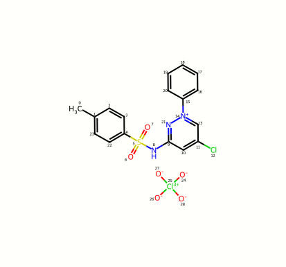 Cc1ccc(S(=O)(=O)Nc2cc(Cl)c[n+](-c3ccccc3)n2)cc1.[O-][Cl+3]([O-])([O-])[O-]